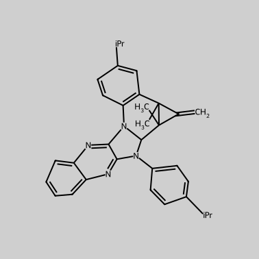 C=C1C2(C)c3cc(C(C)C)ccc3N3c4nc5ccccc5nc4N(c4ccc(C(C)C)cc4)C3C12C